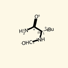 CCC(C)[C@H](N[C]=O)C(N)=O